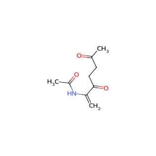 C=C(NC(C)=O)C(=O)CCC(C)=O